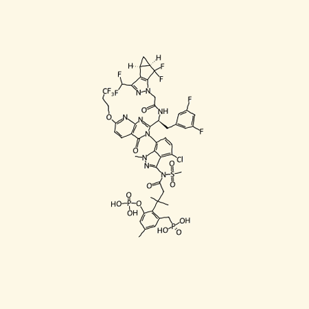 Cc1cc(CP(=O)(O)O)c(C(C)(C)CC(=O)N(c2nn(C)c3c(-n4c([C@H](Cc5cc(F)cc(F)c5)NC(=O)Cn5nc(C(F)F)c6c5C(F)(F)[C@@H]5C[C@H]65)nc5nc(OCCC(F)(F)F)ccc5c4=O)ccc(Cl)c23)S(C)(=O)=O)c(OP(=O)(O)O)c1